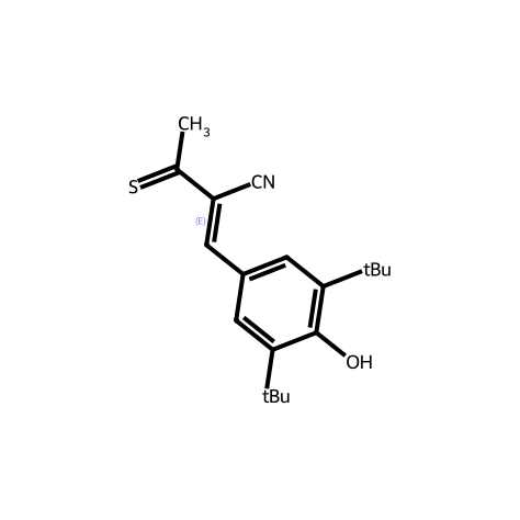 CC(=S)/C(C#N)=C/c1cc(C(C)(C)C)c(O)c(C(C)(C)C)c1